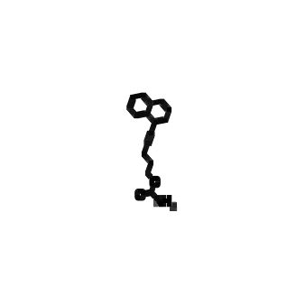 NC(=O)OCCCC#Cc1cccc2ccccc12